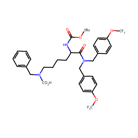 CC(C)(C)OC(=O)NC(CCCCN(Cc1ccccc1)C(=O)O)C(=O)N(Cc1ccc(OC(F)(F)F)cc1)Cc1ccc(OC(F)(F)F)cc1